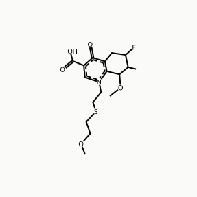 COCCSCCn1cc(C(=O)O)c(=O)c2c1C(OC)C(C)C(F)C2